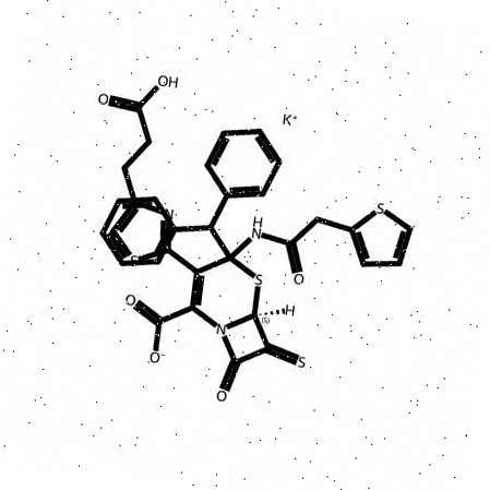 O=C(O)CCc1csc(C2=C(C(=O)[O-])N3C(=O)C(=S)[C@@H]3SC2(NC(=O)Cc2cccs2)C(c2ccccc2)c2ccccc2)n1.[K+]